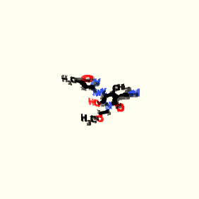 COCCn1c(O)c(N=Nc2cc(C)on2)c(C)c(C#N)c1=O